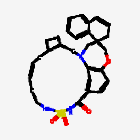 O=C1NS(=O)(=O)NCCC=CCC2CCC2CN2CC3(CC=Cc4ccccc43)COc3ccc1cc32